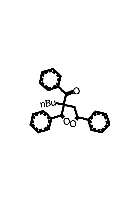 CCCCC(CC(=O)c1ccccc1)(C(=O)c1ccccc1)C(=O)c1ccccc1